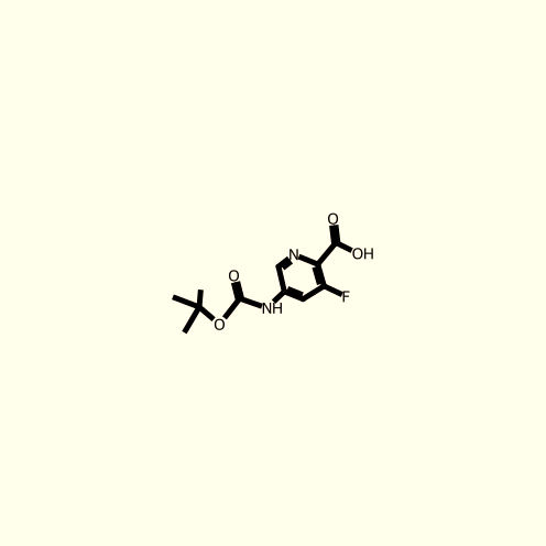 CC(C)(C)OC(=O)Nc1cnc(C(=O)O)c(F)c1